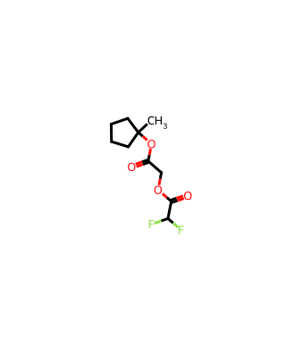 CC1(OC(=O)COC(=O)C(F)F)CCCC1